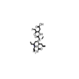 C=C/C=C(\CC)CN(C(CC=C)NC(N)=O)[C@@H](CC)C(=O)NC(CC(=O)O)C(=O)CF